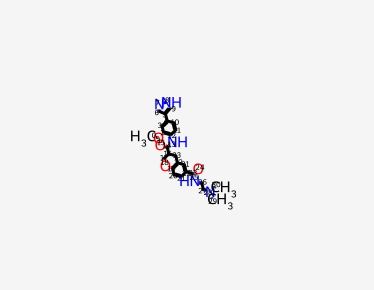 COc1cc(-c2cn[nH]c2)ccc1NC(=O)C1COc2ccc(C(=O)NCCN(C)C)cc2C1